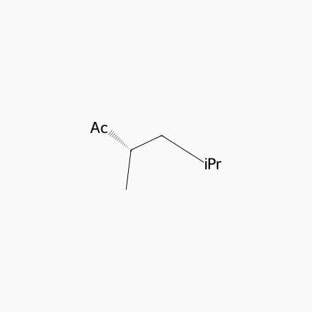 CC(=O)[C@@H](C)CC(C)C